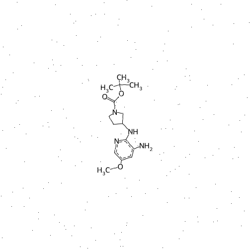 COc1cnc(NC2CCN(C(=O)OC(C)(C)C)C2)c(N)c1